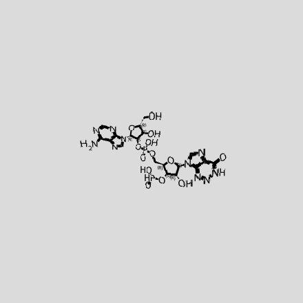 Nc1ncnc2c1ncn2[C@@H]1O[C@H](CO)[C@@H](O)[C@H]1OP(=O)(O)OC[C@H]1O[C@@H](n2cnc3c(=O)[nH]nnc32)[C@H](O)[C@@H]1O[PH](=O)O